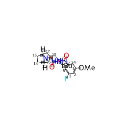 COc1cc(F)cc(C(=O)NC[C@@H]2C[C@H]3CC[C@@H](C2)N3CC(=O)NC(C)(C)C)c1